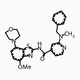 COc1ccc(N2CCOCC2)c2sc(NC(=O)c3ccnc(N(C)Cc4ccccc4)c3)nc12